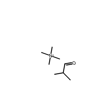 CC(C)C=O.C[N+](C)(C)C